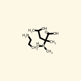 CC(O)CC(C)(C(=O)O)N(C)C.CCCN